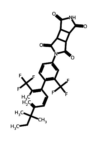 C=C(/C=C\C(=C(/C)C(F)(F)F)c1ccc(N2C(=O)C3C4C(=O)NC(=O)C4C3C2=O)cc1C(F)(F)F)C(C)(C)CC